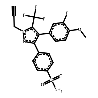 C#CCn1nc(-c2ccc(S(N)(=O)=O)cc2)c(-c2ccc(OC)c(F)c2)c1C(F)(F)F